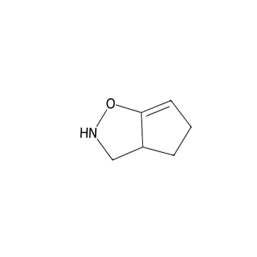 C1=C2ONCC2CC1